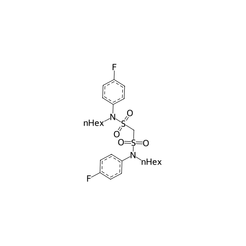 CCCCCCN(c1ccc(F)cc1)S(=O)(=O)CS(=O)(=O)N(CCCCCC)c1ccc(F)cc1